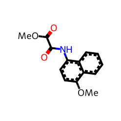 COC(=O)C(=O)Nc1ccc(OC)c2ccccc12